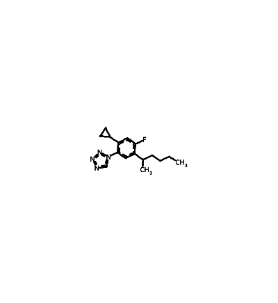 CCCCC(C)c1cc(-n2cnnn2)c(C2CC2)cc1F